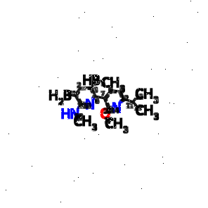 Bc1cc(BC)c(-c2ccc(C(C)C)nc2OC)nc1NC